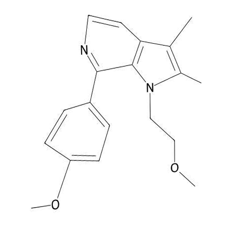 COCCn1c(C)c(C)c2ccnc(-c3ccc(OC)cc3)c21